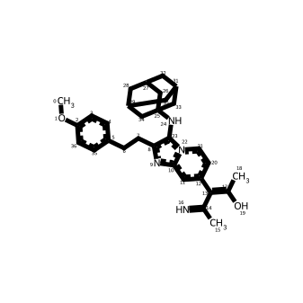 COc1ccc(CCc2nc3cc(/C(C(C)=N)=C(\C)O)ccn3c2NC23CC4CC(CC(C4)C2)C3)cc1